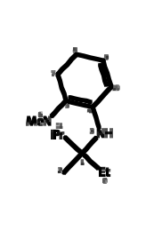 CCC(C)(NC1=C(NC)CCC=C1)C(C)C